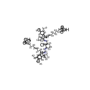 CCc1cc2c(cc1OC)C(CC)(CC)C(/C=C/C1=C(Cl)C(=C/C=C3\N(CCCCCCCCS(=O)(=O)O)c4cc(CC)c(OC)cc4C3(CC)CC)/CCC1)=[N+]2CCCCCCCCS(=O)(=O)O